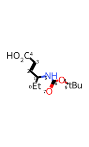 CCC(/C=C/C(=O)O)NC(=O)OC(C)(C)C